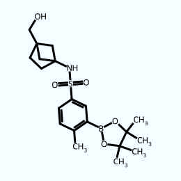 Cc1ccc(S(=O)(=O)NC23CCC(CO)(C2)C3)cc1B1OC(C)(C)C(C)(C)O1